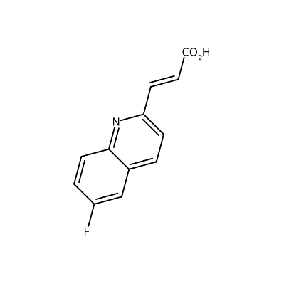 O=C(O)C=Cc1ccc2cc(F)ccc2n1